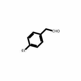 C[CH]c1ccc(CC=O)cc1